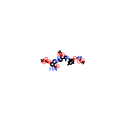 CNC(=O)c1ccc(OCC(=O)OC(C)(C)C)c2c1CN(c1ccc(-c3ccn(CC45CC6(C)CC(C)(C4)CC(OCCN(C)C(=O)OC(C)(C)C)(C6)C5)c3C)c(C(=O)OC(C)(C)C)n1)CC2